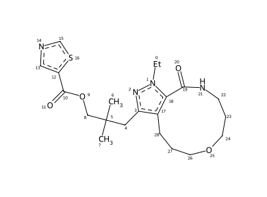 CCn1nc(CC(C)(C)COC(=O)c2cncs2)c2c1C(=O)NCCCOCCC2